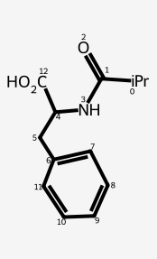 CC(C)C(=O)NC(Cc1ccccc1)C(=O)O